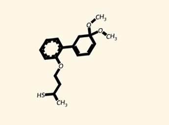 COC1(OC)C=CC=C(c2ccccc2OCCC(C)S)C1